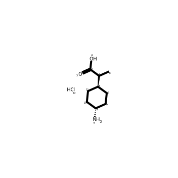 CC(C(=O)O)[C@H]1CC[C@H](N)CC1.Cl